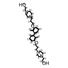 Cc1c(OCCCN2CCN(CCO)CC2)cccc1-c1cccc(OCCCN2CCN(CCO)CC2)c1C